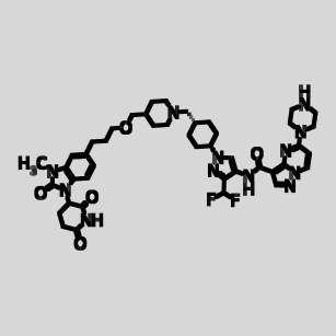 Cn1c(=O)n(C2CCC(=O)NC2=O)c2ccc(CCCOCC3CCN(C[C@H]4CC[C@H](n5cc(NC(=O)c6cnn7ccc(N8CCNCC8)nc67)c(C(F)F)n5)CC4)CC3)cc21